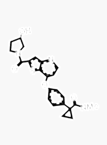 CNC(=O)C1(c2ccc(Oc3ccnc4cc(C(=O)N5CC[C@@H](O)C5)sc34)cc2)CC1